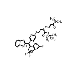 CN(C)C(=O)/C=C/CN(CCOc1ccc(/C(=C(/CC(F)(F)F)c2ccc(F)cc2Cl)c2cc3ccccc3[nH]2)cn1)C(=O)OC(C)(C)C